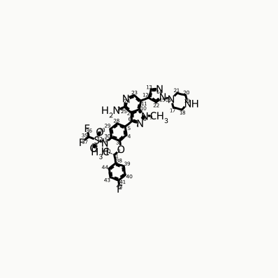 C[C@H](Oc1cc(-c2nn(C)c3c(-c4cnn(N5CCNCC5)c4)cnc(N)c23)ccc1NS(=O)(=O)C(F)F)c1ccc(F)cc1